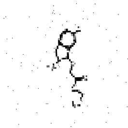 CCOC(=O)COC1c2cc(O)ccc2CC1N